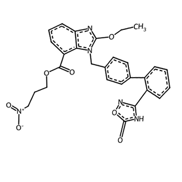 CCOc1nc2cccc(C(=O)OCCC[N+](=O)[O-])c2n1Cc1ccc(-c2ccccc2-c2noc(=O)[nH]2)cc1